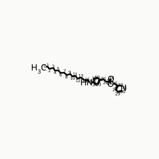 CCCCCCCCCCCCCCCCNc1ccc(CCC(=O)OCc2cccnc2)cc1